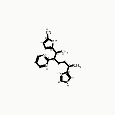 CC(CCC(c1ncccn1)C(C)c1ccc(C#N)s1)c1cscn1